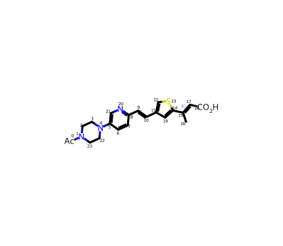 CC(=O)N1CCN(c2ccc(C=Cc3csc(/C(C)=C/C(=O)O)c3)nc2)CC1